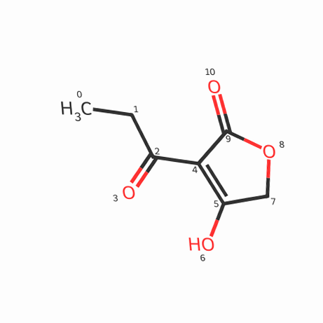 CCC(=O)C1=C(O)COC1=O